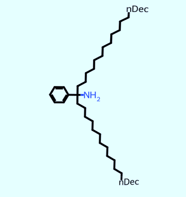 CCCCCCCCCCCCCCCCCCCCCCC(N)(CCCCCCCCCCCCCCCCCCCCCC)c1ccccc1